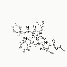 CCOC(=O)c1nc([C@@H](Cc2c[nH]c3ccccc23)NC(=O)[C@H](CC(C)C)NC(=O)NCc2ccccc2)[nH]c1C